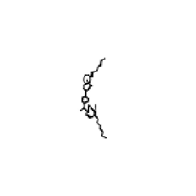 CCCCCCCOc1ccc(-c2ccc(C(C)c3ccc(CCCCCCC)cn3)cc2)cc1